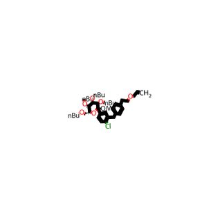 C=CCOCCc1ccc(Cc2cc([C@]3(OC)O[C@H](COCCCC)[C@@H](OCCCC)[C@H](OCCCC)[C@H]3OCCCC)ccc2Cl)cc1